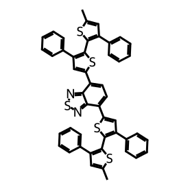 Cc1cc(-c2ccccc2)c(-c2sc(-c3ccc(-c4cc(-c5ccccc5)c(-c5sc(C)cc5-c5ccccc5)s4)c4nsnc34)cc2-c2ccccc2)s1